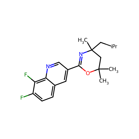 CC(C)CC1(C)CC(C)(C)OC(c2cnc3c(F)c(F)ccc3c2)=N1